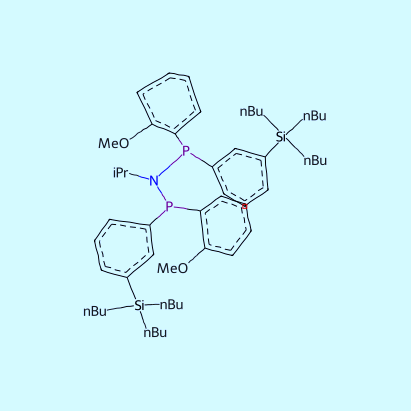 CCCC[Si](CCCC)(CCCC)c1cccc(P(c2ccccc2OC)N(C(C)C)P(c2cccc([Si](CCCC)(CCCC)CCCC)c2)c2ccccc2OC)c1